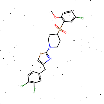 COc1ccc(Cl)cc1S(=O)(=O)C1CCN(c2nc(Cc3ccc(Cl)c(F)c3)cs2)CC1